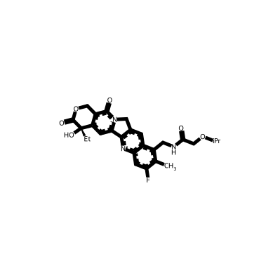 CC[C@@]1(O)C(=O)OCc2c1cc1n(c2=O)Cc2cc3c(CNC(=O)COC(C)C)c(C)c(F)cc3nc2-1